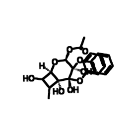 CC(=O)O[C@@H]1O[C@@H]2C(O)C(C)[C@]2(O)[C@@](O)(Oc2ccccc2)[C@]1(O)Oc1ccccc1